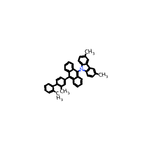 Cc1ccc2c(c1)c1cc(C)ccc1n2-c1c2ccccc2c(-c2ccc(-c3ccccc3C)c(C)c2)c2ccccc12